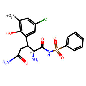 NC(=O)CC(c1cc(Cl)cc(S(=O)(=O)O)c1O)[C@H](N)C(=O)NS(=O)(=O)c1ccccc1